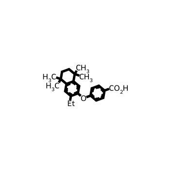 CCc1cc2c(cc1Oc1ccc(C(=O)O)cc1)C(C)(C)CCC2(C)C